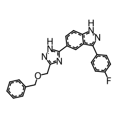 Fc1ccc(-c2n[nH]c3ccc(-c4nc(COCc5ccccc5)n[nH]4)cc23)cc1